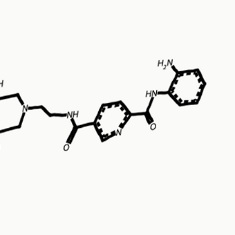 Nc1ccccc1NC(=O)c1ccc(C(=O)NCCN(CCO)CCO)cn1